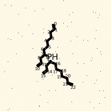 C=CCCCCCC(CC=C)PC(CC=C)CCCCCC=C